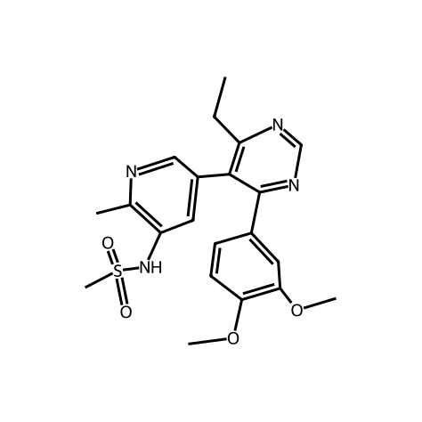 CCc1ncnc(-c2ccc(OC)c(OC)c2)c1-c1cnc(C)c(NS(C)(=O)=O)c1